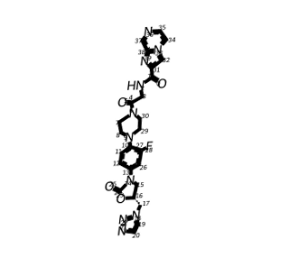 O=C(NCC(=O)N1CCN(c2ccc(N3C[C@H](Cn4ccnn4)OC3=O)cc2F)CC1)c1cn2ccncc2n1